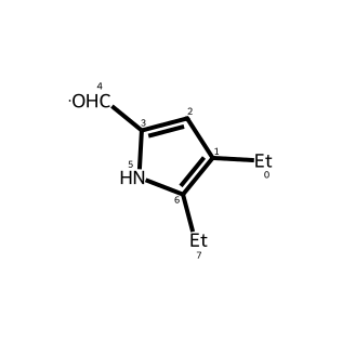 CCc1cc([C]=O)[nH]c1CC